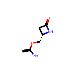 C=C(N)OC[C@@H]1CC(=O)N1